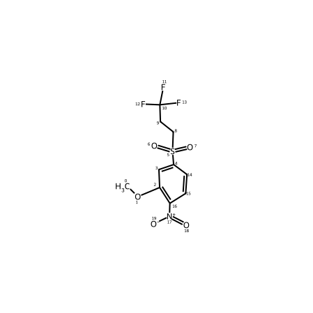 COc1cc(S(=O)(=O)CCC(F)(F)F)ccc1[N+](=O)[O-]